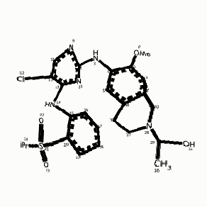 COc1cc2c(cc1Nc1ncc(Cl)c(Nc3ccccc3S(=O)(=O)C(C)C)n1)CCN(C(C)O)C2